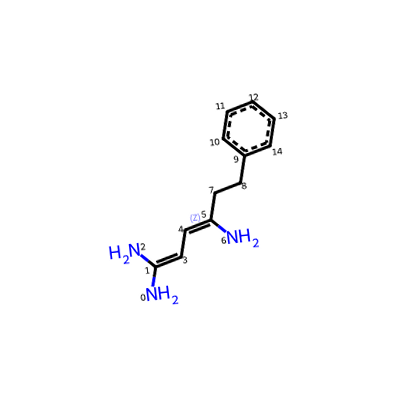 NC(N)=C/C=C(\N)CCc1ccccc1